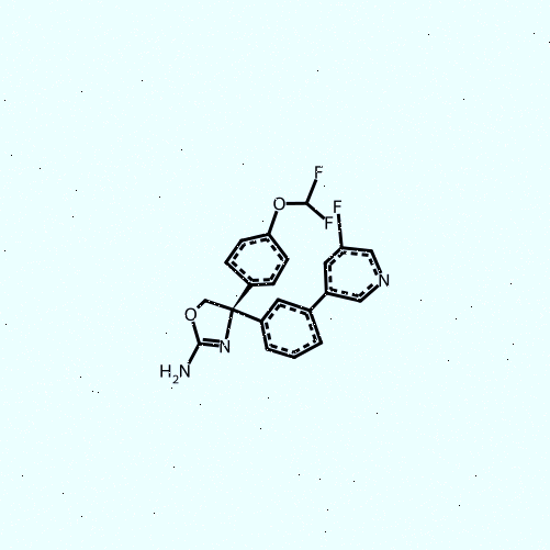 NC1=N[C@@](c2ccc(OC(F)F)cc2)(c2cccc(-c3cncc(F)c3)c2)CO1